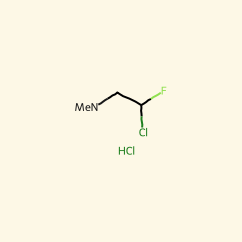 CNCC(F)Cl.Cl